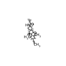 CC#Cc1cc(C)c(C2C(=O)CC3(CCC(NC(=O)C4CC4)CC3)CC2=O)c(C)c1